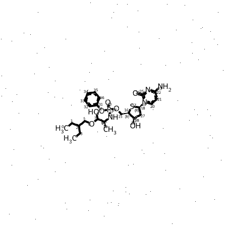 CCC(CC)COC(O)[C@H](C)NP(=O)(OC[C@H]1S[C@@H](n2ccc(N)nc2=O)C[C@H]1O)Oc1ccccc1